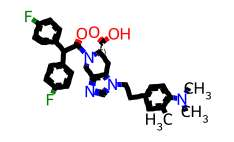 Cc1cc(CCn2cnc3c2C[C@@H](C(=O)O)N(C(=O)C(c2ccc(F)cc2)c2ccc(F)cc2)C3)ccc1N(C)C